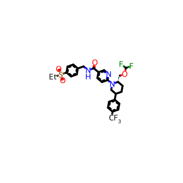 CCS(=O)(=O)c1ccc(CNC(=O)c2ccc(N3CC(c4ccc(C(F)(F)F)cc4)CC[C@H]3COC(F)F)nc2)cc1